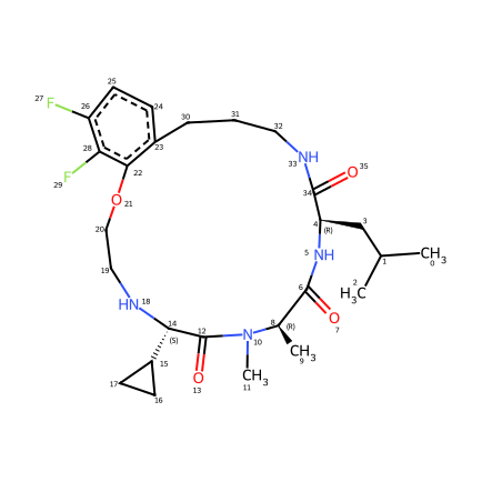 CC(C)C[C@H]1NC(=O)[C@@H](C)N(C)C(=O)[C@H](C2CC2)NCCOc2c(ccc(F)c2F)CCCNC1=O